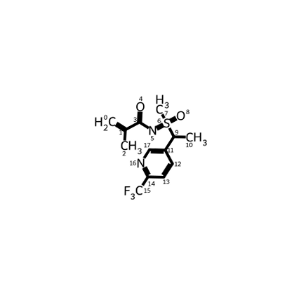 C=C(C)C(=O)N=S(C)(=O)C(C)c1ccc(C(F)(F)F)nc1